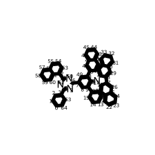 c1ccc(-c2nc(-c3cc(-c4ccccc4)c(-n4c5cc6ccccc6cc5c5cc6ccccc6cc54)c(-c4ccc5ccccc5c4)c3)nc(-c3cccc4ccccc34)n2)cc1